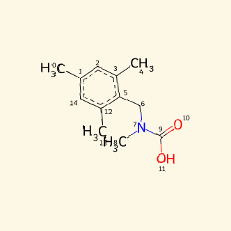 Cc1cc(C)c(CN(C)C(=O)O)c(C)c1